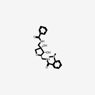 CN(C)c1ccccc1C(=O)NC[C@H]1OC[C@@](O)(CNC(=O)c2ccccc2)[C@@H]1O